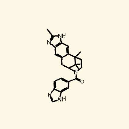 Cc1nc2cc3c(cc2[nH]1)C1(C)CCN(C(=O)c2ccc4nc[nH]c4c2)C(C3)C1(C)C